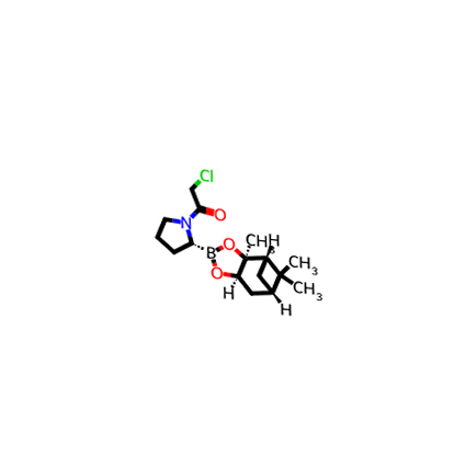 CC1(C)[C@@H]2C[C@H]3OB([C@@H]4CCCN4C(=O)CCl)O[C@@]3(C)[C@H]1C2